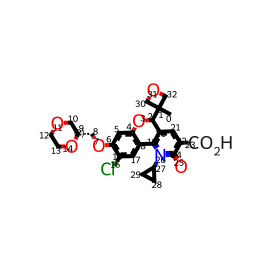 CC1(C2Oc3cc(OC[C@H]4COCCO4)c(Cl)cc3-c3c2cc(C(=O)O)c(=O)n3C2CC2)COC1